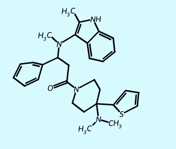 Cc1[nH]c2ccccc2c1N(C)C(CC(=O)N1CCC(c2cccs2)(N(C)C)CC1)c1ccccc1